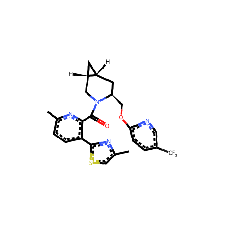 Cc1csc(-c2ccc(C)nc2C(=O)N2C[C@@H]3C[C@@H]3C[C@H]2COc2ccc(C(F)(F)F)cn2)n1